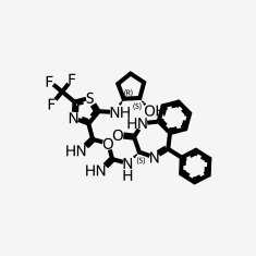 N=C(N[C@H]1N=C(c2ccccc2)c2ccccc2NC1=O)OC(=N)c1nc(C(F)(F)F)sc1N[C@@H]1CCC[C@@H]1O